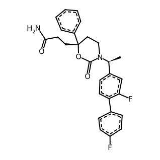 C[C@@H](c1ccc(-c2ccc(F)cc2)c(F)c1)N1CC[C@@](CCC(N)=O)(c2ccccc2)OC1=O